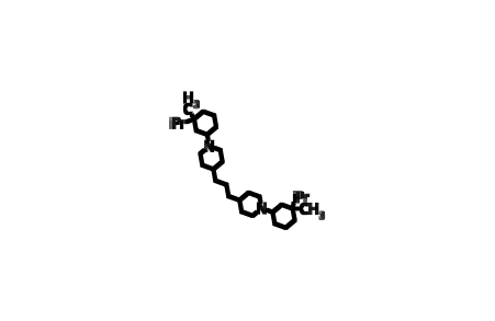 CC(C)C1(C)CCCC(N2CCC(CCCC3CCN(C4CCCC(C)(C(C)C)C4)CC3)CC2)C1